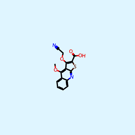 COc1c2ccccc2nc2sc(C(=O)O)c(OCC#N)c12